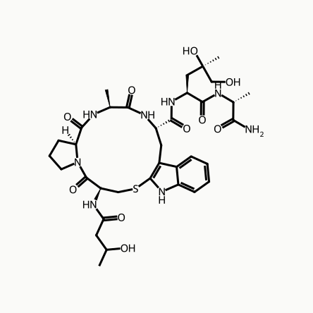 CC(O)CC(=O)N[C@@H]1CSc2[nH]c3ccccc3c2C[C@@H](C(=O)N[C@@H](C[C@@](C)(O)CO)C(=O)N[C@H](C)C(N)=O)NC(=O)[C@H](C)NC(=O)[C@@H]2CCCN2C1=O